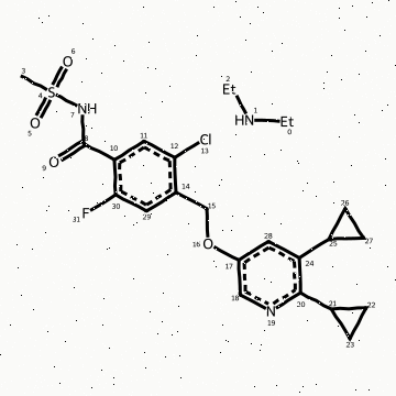 CCNCC.CS(=O)(=O)NC(=O)c1cc(Cl)c(COc2cnc(C3CC3)c(C3CC3)c2)cc1F